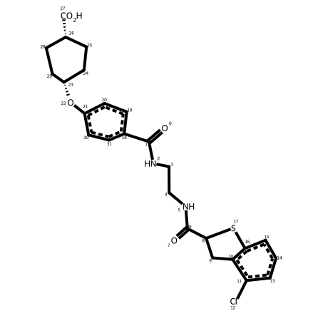 O=C(NCCNC(=O)C1Cc2c(Cl)cccc2S1)c1ccc(O[C@H]2CC[C@@H](C(=O)O)CC2)cc1